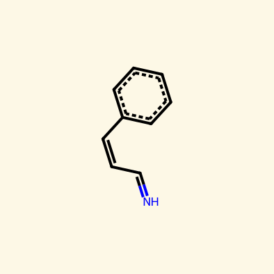 N=C/C=C\c1ccccc1